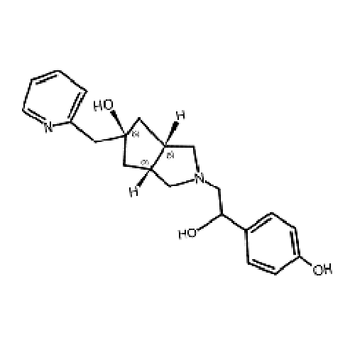 Oc1ccc(C(O)CN2C[C@@H]3C[C@](O)(Cc4ccccn4)C[C@@H]3C2)cc1